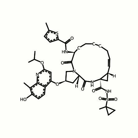 Cc1ccc(C(=O)N[C@H]2CCCCCC=C[C@@H]3C[C@@]3(C(=O)NS(=O)(=O)C3(C)CC3)NC(=O)[C@@H]3C[C@@H](Oc4cc(OC(C)C)nc5c(C)c(O)ccc45)CN3C2=O)s1